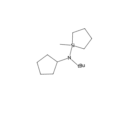 CC(C)(C)N(C1CCCC1)[Si]1(C)CCCC1